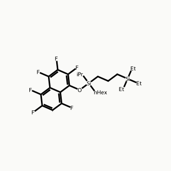 CCCCCC[Si](CCC[Si](CC)(CC)CC)(Oc1c(F)c(F)c(F)c2c(F)c(F)[c]c(F)c12)C(C)C